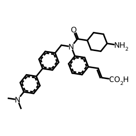 CN(C)c1ccc(-c2ccc(CN(C(=O)C3CCC(N)CC3)c3cccc(C=CC(=O)O)c3)cc2)cc1